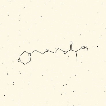 CC(I)C(=O)OCCOCCN1CCOCC1